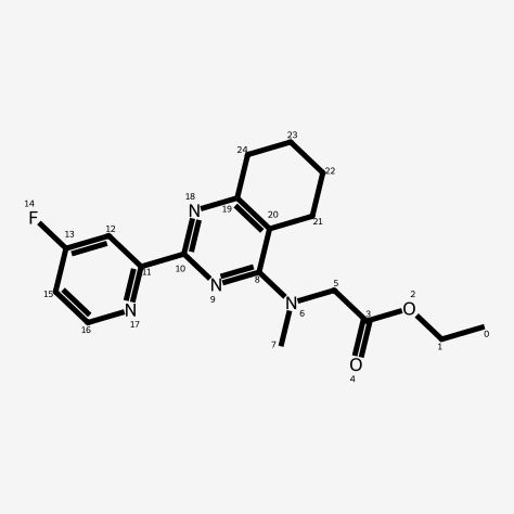 CCOC(=O)CN(C)c1nc(-c2cc(F)ccn2)nc2c1CCCC2